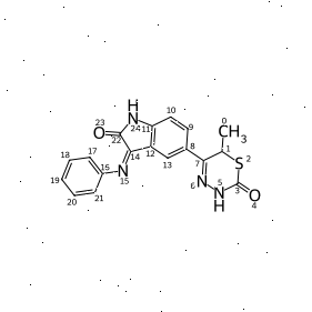 CC1SC(=O)NN=C1c1ccc2c(c1)C(=Nc1ccccc1)C(=O)N2